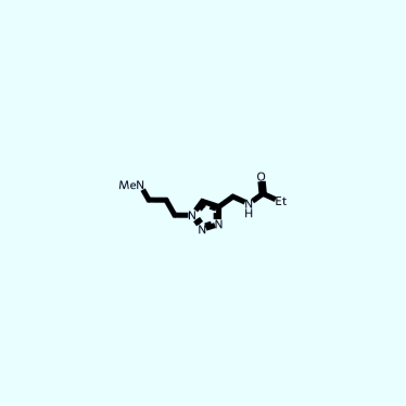 CCC(=O)NCc1cn(CCCNC)nn1